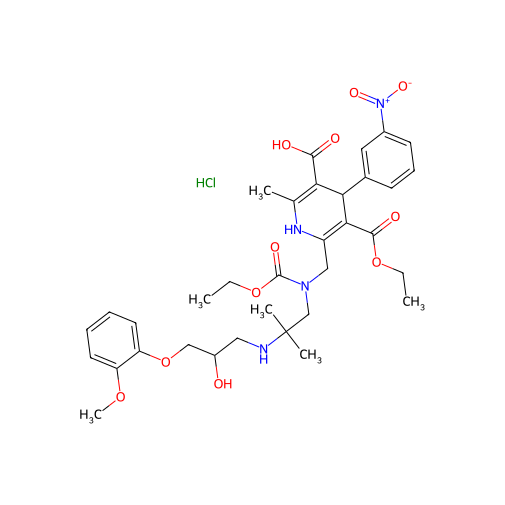 CCOC(=O)C1=C(CN(CC(C)(C)NCC(O)COc2ccccc2OC)C(=O)OCC)NC(C)=C(C(=O)O)C1c1cccc([N+](=O)[O-])c1.Cl